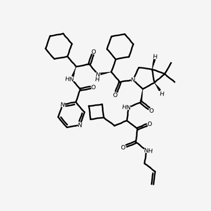 C=CCNC(=O)C(=O)C(CC1CCC1)NC(=O)[C@@H]1[C@@H]2[C@H](CN1C(=O)[C@@H](NC(=O)[C@@H](NC(=O)c1cnccn1)C1CCCCC1)C1CCCCC1)C2(C)C